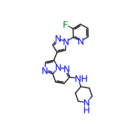 Fc1cccnc1-n1cc(-c2cnc3ccc(NC4CCNCC4)nn23)cn1